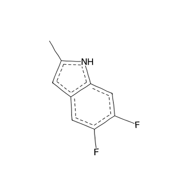 Cc1cc2cc(F)c(F)cc2[nH]1